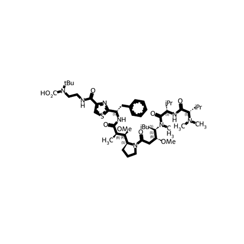 CC[C@H](C)[C@@H]([C@@H](CC(=O)N1CCC[C@H]1[C@H](OC)[C@@H](C)C(=O)N[C@@H](Cc1ccccc1)c1nc(C(=O)NCCN(C(=O)O)C(C)(C)C)cs1)OC)N(C)C(=O)[C@@H](NC(=O)[C@H](C(C)C)N(C)C)C(C)C